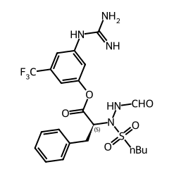 CCCCS(=O)(=O)N(NC=O)[C@@H](Cc1ccccc1)C(=O)Oc1cc(NC(=N)N)cc(C(F)(F)F)c1